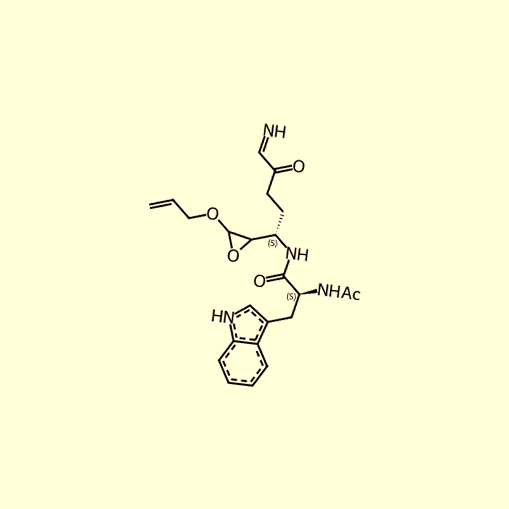 C=CCOC1OC1[C@H](CCC(=O)C=N)NC(=O)[C@H](Cc1c[nH]c2ccccc12)NC(C)=O